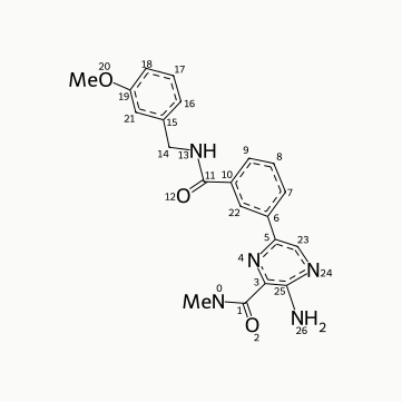 CNC(=O)c1nc(-c2cccc(C(=O)NCc3cccc(OC)c3)c2)cnc1N